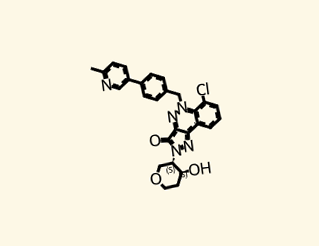 Cc1ccc(-c2ccc(Cn3nc4c(=O)n([C@H]5COCC[C@@H]5O)nc-4c4cccc(Cl)c43)cc2)cn1